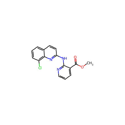 COC(=O)c1cccnc1Nc1ccc2cccc(Cl)c2n1